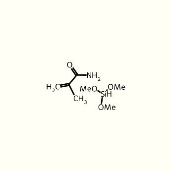 C=C(C)C(N)=O.CO[SiH](OC)OC